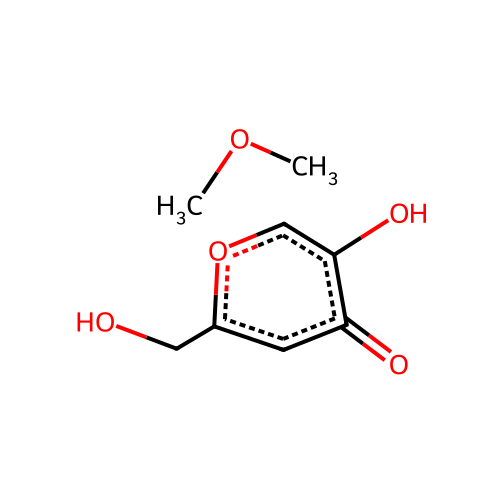 COC.O=c1cc(CO)occ1O